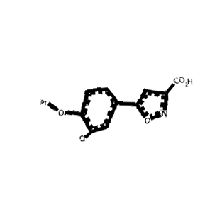 CC(C)Oc1ccc(-c2cc(C(=O)O)no2)cc1Cl